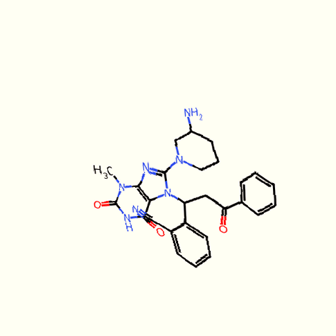 Cn1c(=O)[nH]c(=O)c2c1nc(N1CCCC(N)C1)n2C(CC(=O)c1ccccc1)c1ccccc1C#N